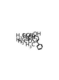 C[C@H]1[C@H](O[Si](C)(C)C(C)(C)C)[C@H](C)C(c2ccccc2)=CC[C@H]1O